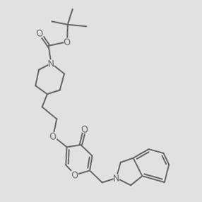 CC(C)(C)OC(=O)N1CCC(CCOc2coc(CN3Cc4ccccc4C3)cc2=O)CC1